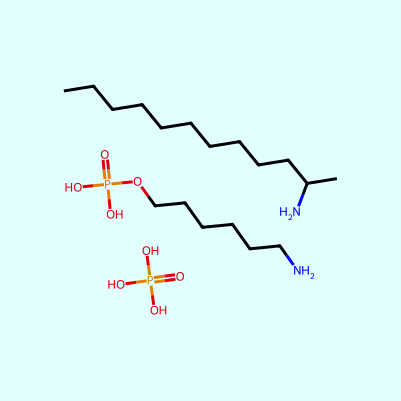 CCCCCCCCCCC(C)N.NCCCCCCOP(=O)(O)O.O=P(O)(O)O